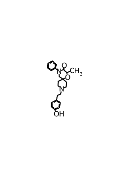 CC1OC2(CCN(CCc3ccc(O)cc3)CC2)CN(c2ccccc2)C1=O